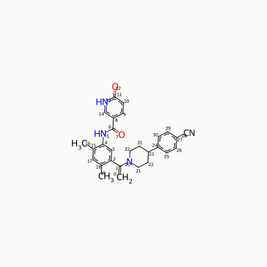 C=C(c1cc(NC(=O)c2ccc(=O)[nH]c2)c(C)cc1C)N1CCC(c2ccc(C#N)cc2)CC1